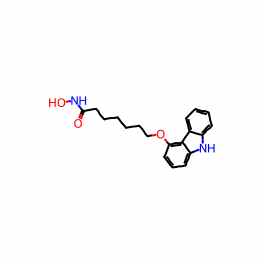 O=C(CCCCCCOc1cccc2[nH]c3ccccc3c12)NO